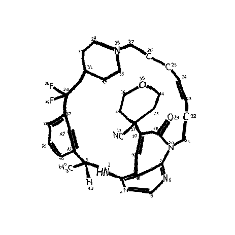 C[C@H]1Nc2ncnc3c2cc(C2(C#N)CCOCC2)c(=O)n3CC/C=C\CCCN2CCC(CC2)C(F)(F)c2cccc1c2